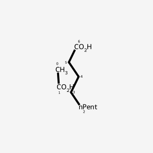 CC(=O)O.CCCCCCCCC(=O)O